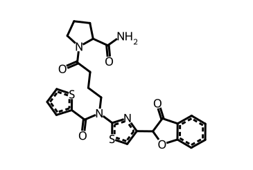 NC(=O)C1CCCN1C(=O)CCCN(C(=O)c1cccs1)c1nc(C2Oc3ccccc3C2=O)cs1